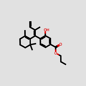 C=C/C(C)=C(\C1=C(C)CCCC1(C)C)c1ccc(C(=O)OCCC)cc1O